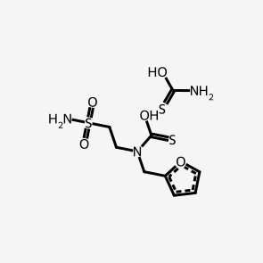 NC(O)=S.NS(=O)(=O)CCN(Cc1ccco1)C(O)=S